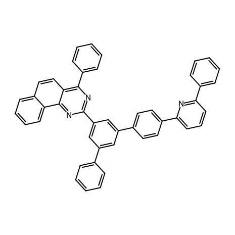 c1ccc(-c2cc(-c3ccc(-c4cccc(-c5ccccc5)n4)cc3)cc(-c3nc(-c4ccccc4)c4ccc5ccccc5c4n3)c2)cc1